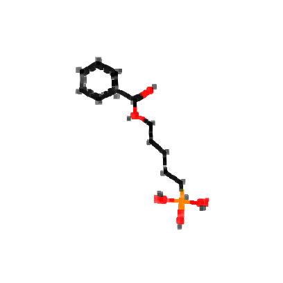 O=C(OCCCCCP(=O)(O)O)c1ccccc1